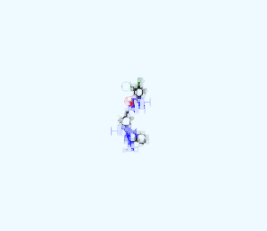 CN(C)c1nc(NC2CCC(CNC(=O)Nc3ccc(F)c(Cl)c3)CC2)nc2c1CCCC2